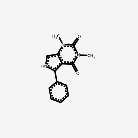 Cn1c(=O)c2c(-c3ccccc3)[nH]cc2n(C)c1=O